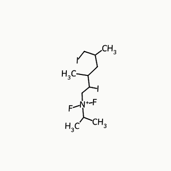 CC(CI)CC(C)C(I)C[N+](F)(F)C(C)C